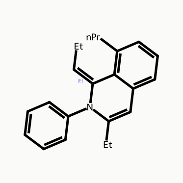 CC/C=C1\c2c(cccc2CCC)C=C(CC)N1c1ccccc1